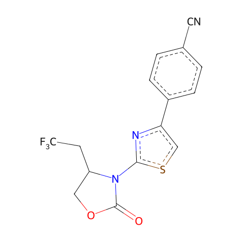 N#Cc1ccc(-c2csc(N3C(=O)OCC3CC(F)(F)F)n2)cc1